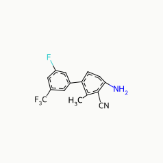 Cc1c(-c2cc(F)cc(C(F)(F)F)c2)ccc(N)c1C#N